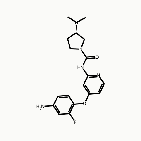 CN(C)[C@@H]1CCN(C(=O)Nc2cc(Oc3ccc(N)cc3F)ccn2)C1